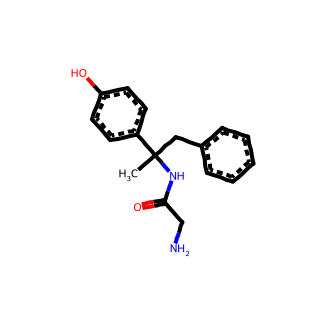 CC(Cc1ccccc1)(NC(=O)CN)c1ccc(O)cc1